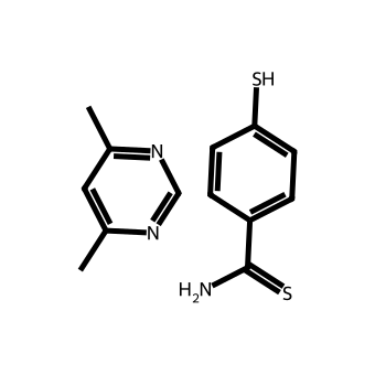 Cc1cc(C)ncn1.NC(=S)c1ccc(S)cc1